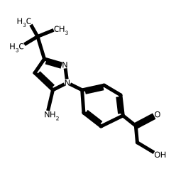 CC(C)(C)c1cc(N)n(-c2ccc(C(=O)CO)cc2)n1